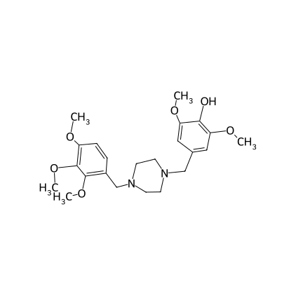 COc1cc(CN2CCN(Cc3ccc(OC)c(OC)c3OC)CC2)cc(OC)c1O